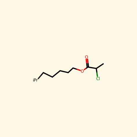 CC(C)CCCCCOC(=O)C(C)Cl